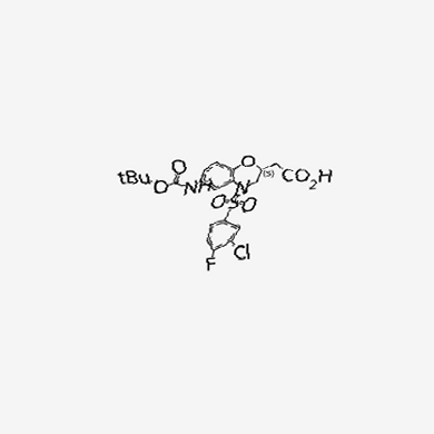 CC(C)(C)OC(=O)Nc1ccc2c(c1)N(S(=O)(=O)c1ccc(F)c(Cl)c1)C[C@H](CC(=O)O)O2